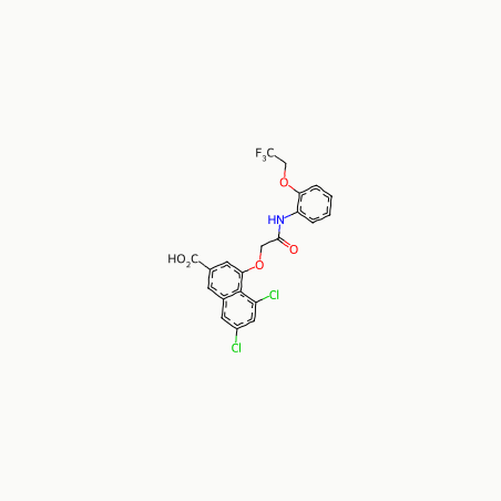 O=C(COc1cc(C(=O)O)cc2cc(Cl)cc(Cl)c12)Nc1ccccc1OCC(F)(F)F